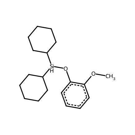 COc1ccccc1O[SiH](C1CCCCC1)C1CCCCC1